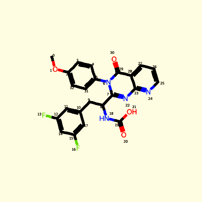 COc1ccc(-n2c(C(Cc3cc(F)cc(F)c3)NC(=O)O)nc3ncccc3c2=O)cc1